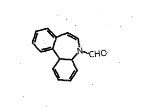 O=[C]N1C=Cc2ccccc2C2C=CC=CC21